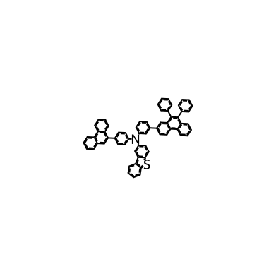 c1ccc(-c2c(-c3ccccc3)c3cc(-c4cccc(N(c5ccc(-c6cc7ccccc7c7ccccc67)cc5)c5ccc6sc7ccccc7c6c5)c4)ccc3c3ccccc23)cc1